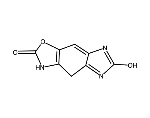 O=c1[nH]c2c(o1)C=C1N=C(O)N=C1C2